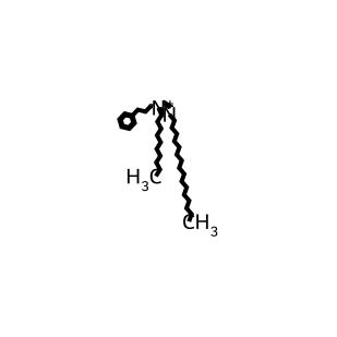 CCCCCCCCCCCCCCCCn1cc[n+](CCCc2ccccc2)c1CCCCCCCCC